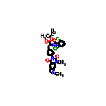 CC(C)OC(=O)[C@H](Cc1ccc(-n2c(=O)c3cc4c(cc3n(C)c2=O)N(C)CC4)cc1)NC(=O)c1c(Cl)cccc1Cl